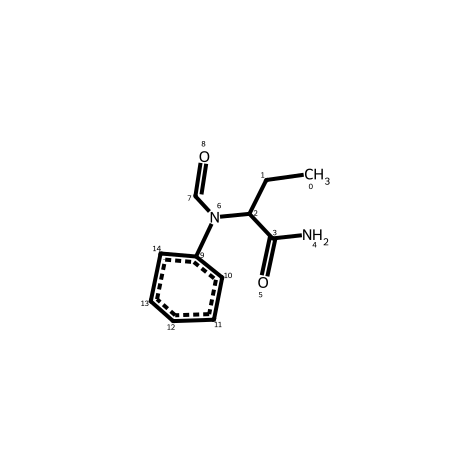 CCC(C(N)=O)N(C=O)c1ccccc1